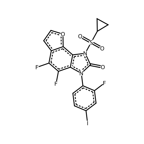 O=c1n(-c2ccc(I)cc2F)c2c(F)c(F)c3ccoc3c2n1S(=O)(=O)C1CC1